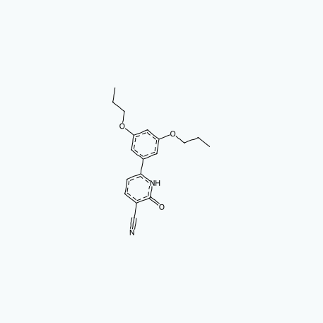 CCCOc1cc(OCCC)cc(-c2ccc(C#N)c(=O)[nH]2)c1